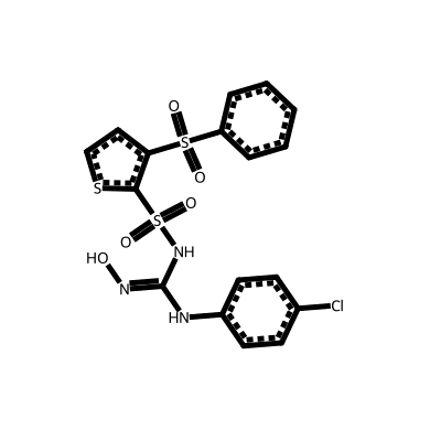 O=S(=O)(NC(=NO)Nc1ccc(Cl)cc1)c1sccc1S(=O)(=O)c1ccccc1